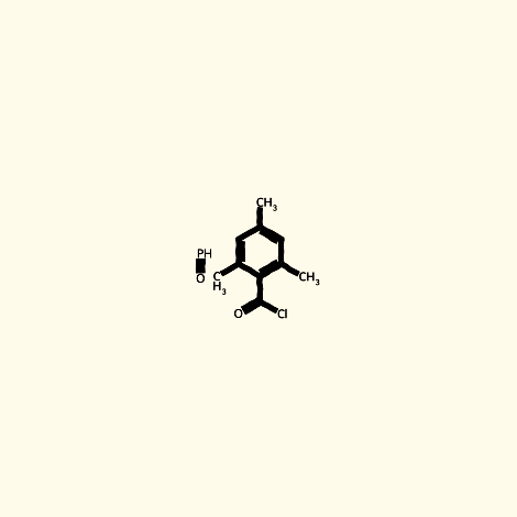 Cc1cc(C)c(C(=O)Cl)c(C)c1.O=P